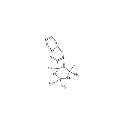 CC1(N)NC(N)(S)NC(S)(c2ccc3ccccc3n2)N1